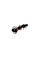 CC1(CN2CCC(COc3ccc(-c4ccc(C(=O)N5CCC[C@@H]5CO)c(F)c4)cn3)CC2)CCC1